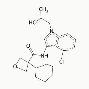 CC(O)Cn1cc(NC(=O)C2(C3CCCCC3)COC2)c2c(Cl)cccc21